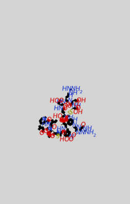 CCC(C)[C@H](NC(=O)[C@H]1CCCCN1C)C(=O)N(COC(=O)CC(C)C)[C@H](C[C@@H](OC(C)=O)c1nc(C(=O)N[C@@H](Cc2ccc(O)c([N+](=O)[O-])c2)C[C@H](C)C(=O)OCCSSC[C@H](NC(=O)[C@H](CC(=O)O)NC(=O)[C@H](CCCNC(=N)N)NC(=O)[C@H](CC(=O)O)NC(=O)CC[C@H](NC(=O)c2ccc(NCc3cnc4nc(N)[nH]c(=O)c4n3)cc2)C(=O)O)C(=O)O)cs1)C(C)C